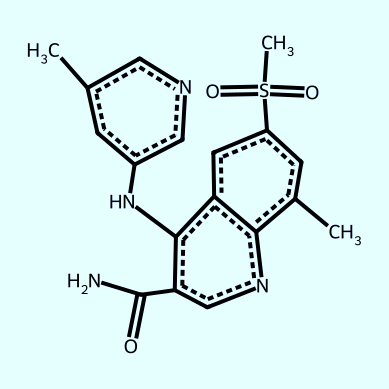 Cc1cncc(Nc2c(C(N)=O)cnc3c(C)cc(S(C)(=O)=O)cc23)c1